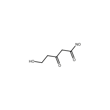 O=NC(=O)CC(=O)CCO